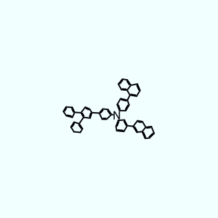 C1=CC(c2cc(-c3ccc(N(c4ccc(-c5cccc6ccccc56)cc4)c4cccc(-c5ccc6ccccc6c5)c4)cc3)ccc2-c2ccccc2)=CCC1